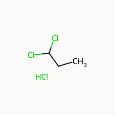 CCC(Cl)Cl.Cl